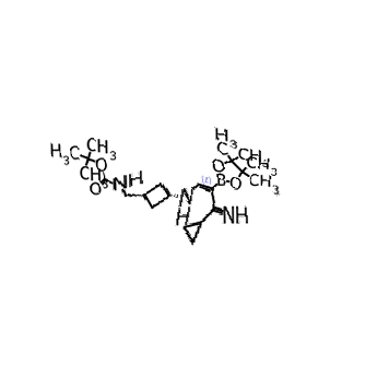 CC(C)(C)OC(=O)NC[C@H]1C[C@H](N/C=C(/B2OC(C)(C)C(C)(C)O2)C(=N)C2CC2)C1